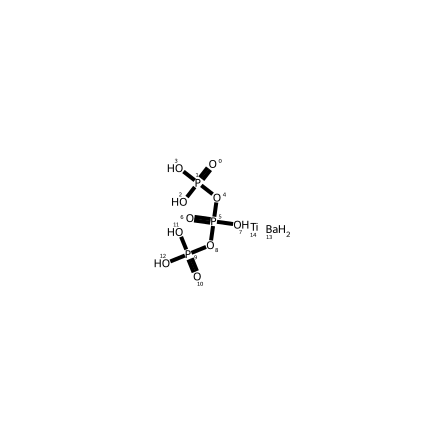 O=P(O)(O)OP(=O)(O)OP(=O)(O)O.[BaH2].[Ti]